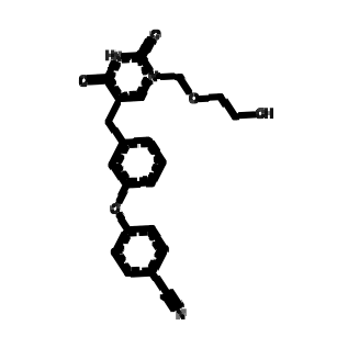 N#Cc1ccc(Oc2cccc(Cc3cn(COCCO)c(=O)[nH]c3=O)c2)cc1